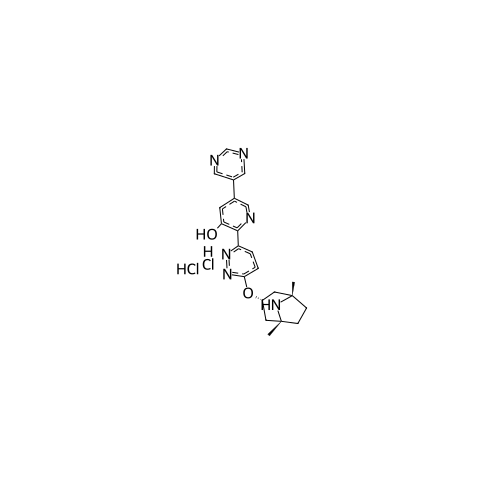 C[C@]12CC[C@](C)(C[C@H](Oc3ccc(-c4ncc(-c5cncnc5)cc4O)nn3)C1)N2.Cl.Cl